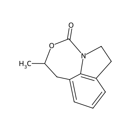 CC1Cc2cccc3c2N(CC3)C(=O)O1